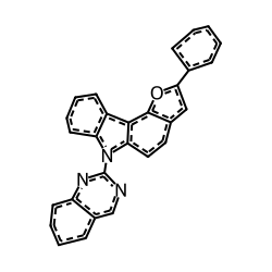 c1ccc(-c2cc3ccc4c(c5ccccc5n4-c4ncc5ccccc5n4)c3o2)cc1